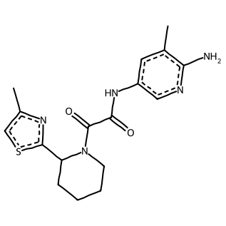 Cc1csc(C2CCCCN2C(=O)C(=O)Nc2cnc(N)c(C)c2)n1